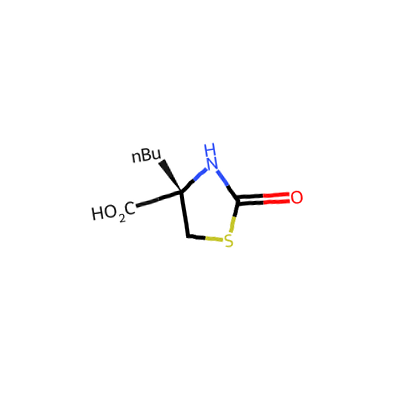 CCCC[C@]1(C(=O)O)CSC(=O)N1